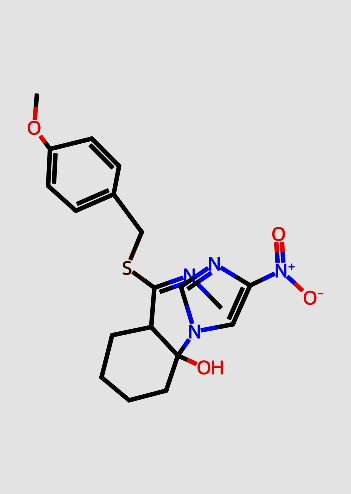 CN=C(SCc1ccc(OC)cc1)C1CCCCC1(O)n1cnc([N+](=O)[O-])c1